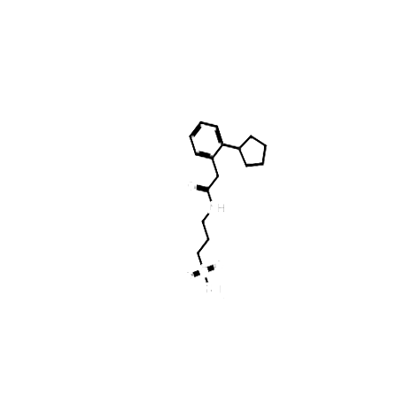 NS(=O)(=O)CCCNC(=O)Cc1ccccc1C1CCCC1